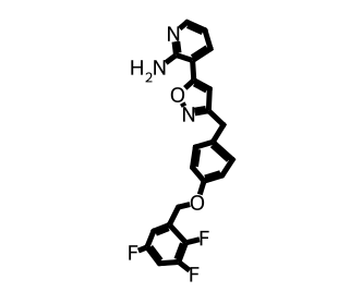 Nc1ncccc1-c1cc(Cc2ccc(OCc3cc(F)cc(F)c3F)cc2)no1